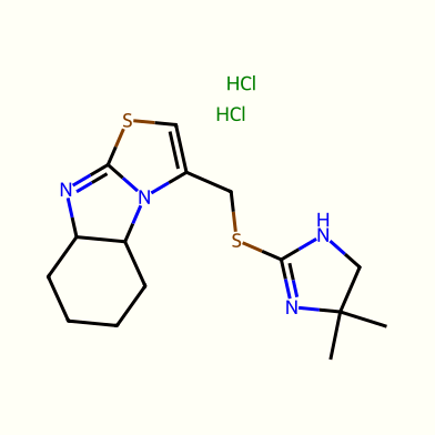 CC1(C)CNC(SCC2=CSC3=NC4CCCCC4N23)=N1.Cl.Cl